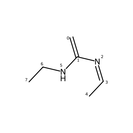 C=C(/N=C\C)NCC